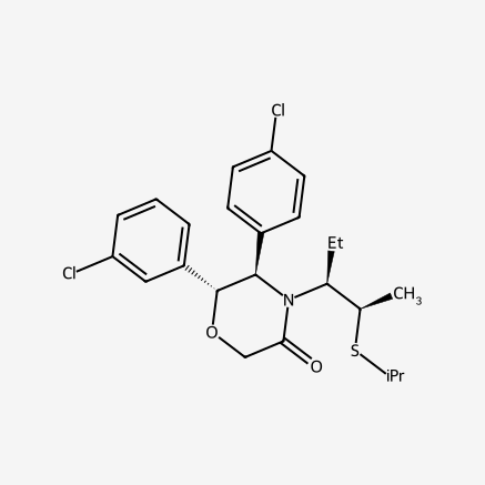 CC[C@@H]([C@@H](C)SC(C)C)N1C(=O)CO[C@H](c2cccc(Cl)c2)[C@H]1c1ccc(Cl)cc1